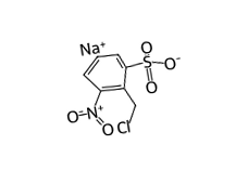 O=[N+]([O-])c1cccc(S(=O)(=O)[O-])c1CCl.[Na+]